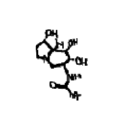 CCCC(=O)N[C@H]1CN2CC[C@H](O)[C@@H]2[C@@H](O)[C@@H]1O